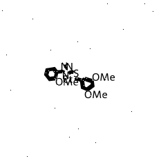 CCn1c(SCc2cc(OC)cc(OC)c2)nnc1-c1ccccc1OC